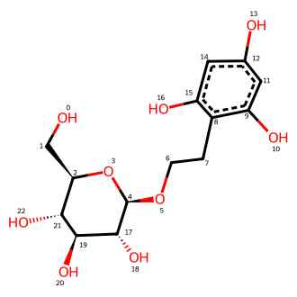 OC[C@H]1O[C@@H](OCCc2c(O)cc(O)cc2O)[C@H](O)[C@@H](O)[C@@H]1O